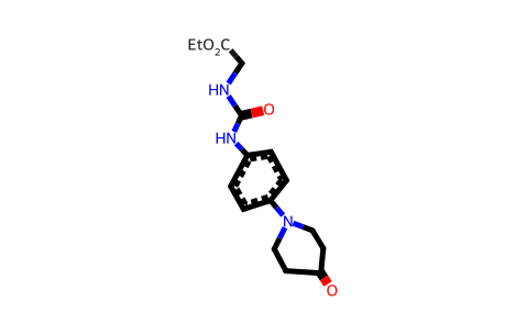 CCOC(=O)CNC(=O)Nc1ccc(N2CCC(=O)CC2)cc1